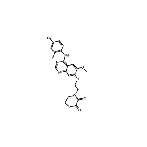 COc1cc2c(Nc3ccc(Cl)cc3F)ncnc2cc1OCCN1CCSC(=O)C1=O